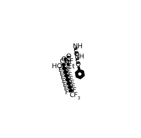 CCN(C(O)(C(F)(F)F)C(F)(F)C(F)(F)C(F)(F)C(F)(F)C(F)(F)C(F)(F)C(F)(F)C(F)(F)F)S(=O)(=O)F.Cc1ccccc1.N=C=O.N=C=O